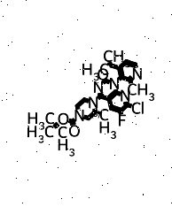 Cc1nccc(C(C)C)c1-n1c(=O)nc(N2CCN(C(=O)OC(C)(C)C)C[C@@H]2C)c2cc(F)c(Cl)nc21